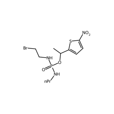 CCCNP(=O)(NCCBr)OC(C)c1ccc([N+](=O)[O-])s1